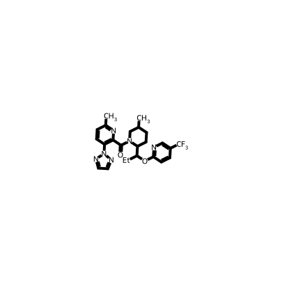 CCC(Oc1ccc(C(F)(F)F)cn1)C1CCC(C)CN1C(=O)c1nc(C)ccc1-n1nccn1